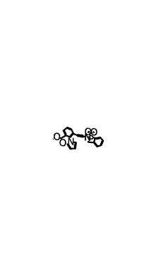 COC(=O)c1cccc(C#CN2Cc3ccccc3S2(=O)=O)c1-n1cccc1